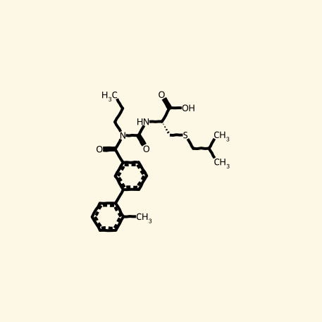 CCCN(C(=O)N[C@@H](CSCC(C)C)C(=O)O)C(=O)c1cccc(-c2ccccc2C)c1